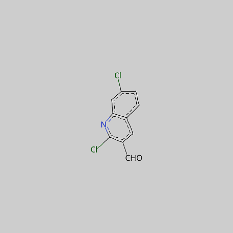 O=Cc1cc2ccc(Cl)cc2nc1Cl